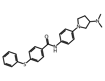 CN(C)C1CCN(c2ccc(NC(=O)c3ccc(Sc4ccccc4)cc3)cc2)C1